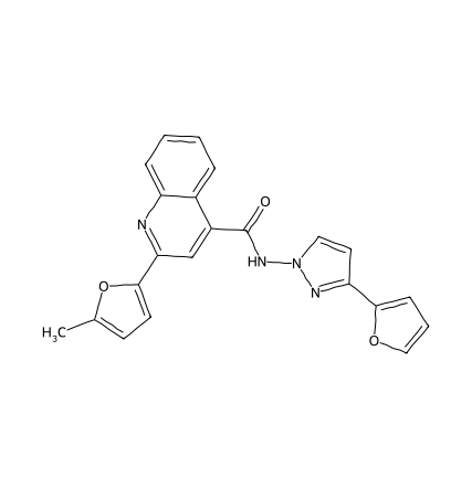 Cc1ccc(-c2cc(C(=O)Nn3ccc(-c4ccco4)n3)c3ccccc3n2)o1